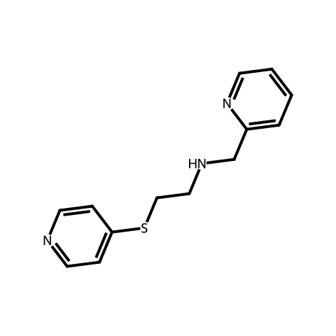 c1ccc(CNCCSc2ccncc2)nc1